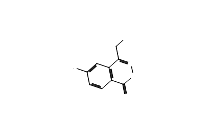 O=c1[nH]nc(CBr)c2cc(Br)ccc12